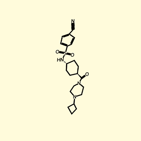 N#Cc1ccc(S(=O)(=O)N[C@H]2CC[C@H](C(=O)N3CCN(C4CCC4)CC3)CC2)cc1